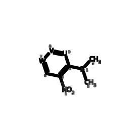 CB(C)[C]1=C([N+](=O)[O-])[CH]=[W][V]=[U]1